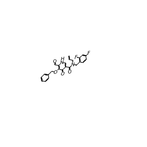 C=CCN(Cc1ccc(F)cc1F)C(=O)c1c[nH]c(C=O)c(OCc2ccccc2)c1=O